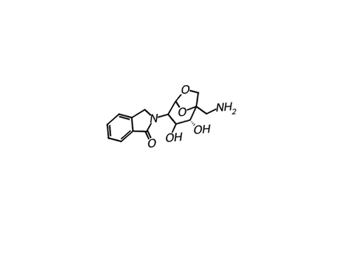 NCC12COC(O1)C(N1Cc3ccccc3C1=O)C(O)[C@H]2O